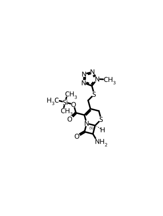 Cn1nnnc1SCC1=C(C(=O)O[Si](C)(C)C)N2C(=O)C(N)[C@@H]2SC1